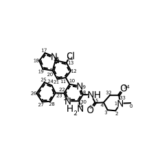 CN1CCC(C(=O)Nc2nc(-c3cc(Cl)c4ncccc4c3)c(-c3ccccc3)nc2N)CC1=O